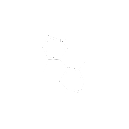 Cc1ccncc1-c1cnccc1C